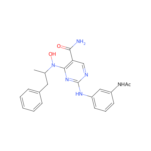 CC(=O)Nc1cccc(Nc2ncc(C(N)=O)c(N(O)C(C)Cc3ccccc3)n2)c1